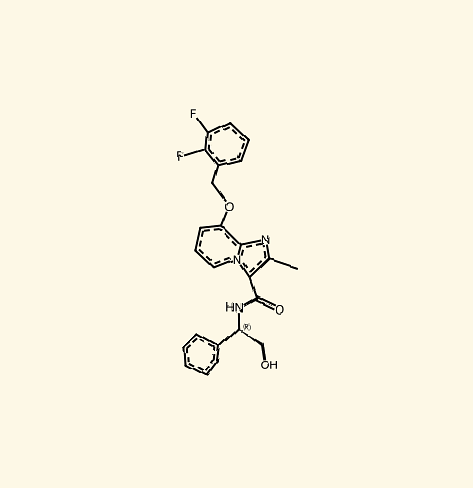 Cc1nc2c(OCc3cccc(F)c3F)cccn2c1C(=O)N[C@@H](CO)c1ccccc1